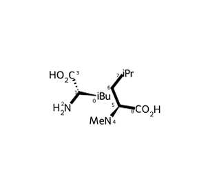 CC[C@H](C)[C@H](N)C(=O)O.CN[C@@H](CC(C)C)C(=O)O